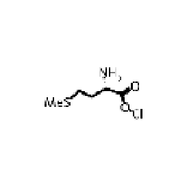 CSCC[C@H](N)C(=O)OCl